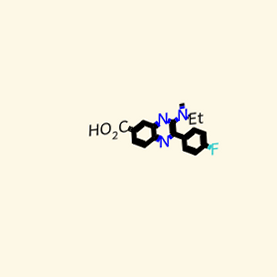 CCN(C)c1nc2cc(C(=O)O)ccc2nc1-c1ccc(F)cc1